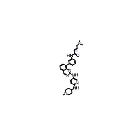 CN(C)C/C=C/C(=O)Nc1cccc(-c2cccc3cnc(Nc4ccc(NC5CCN(C)CC5)nc4)nc23)c1